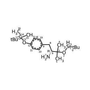 CC(C)(C)[SiH2]OC(C)(C)[C@H](N)Cc1ccc(O[Si](C)(C)C(C)(C)C)cc1